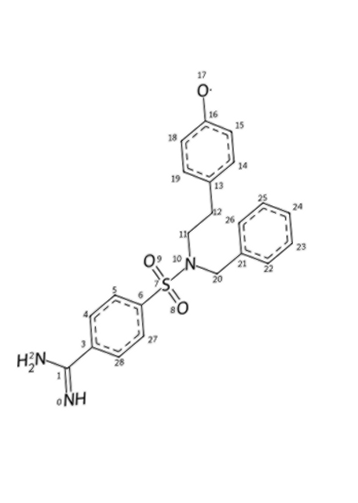 N=C(N)c1ccc(S(=O)(=O)N(CCc2ccc([O])cc2)Cc2ccccc2)cc1